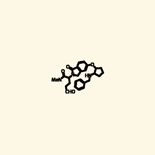 CNC(=O)C(CCC=O)N1Cc2cc(OC3CCCC3NCc3ccccc3)ccc2C1=O